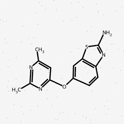 Cc1cc(Oc2ccc3nc(N)sc3c2)nc(C)n1